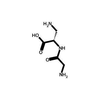 NCC(=O)N[C@@H](CN)C(=O)O